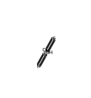 OCC(C=NC(F)(F)C(F)(F)C(F)(F)C(F)(F)C(F)(F)C(F)(F)C(F)(F)C(F)(F)C(F)(F)C(F)(F)F)(C=NC(F)(F)C(F)(F)C(F)(F)C(F)(F)C(F)(F)C(F)(F)C(F)(F)C(F)(F)C(F)(F)C(F)(F)F)CS